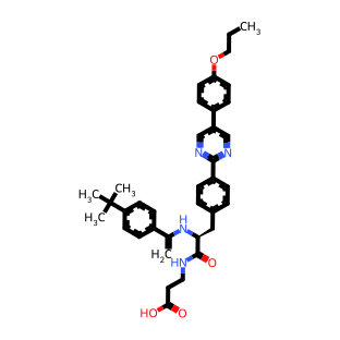 C=C(N[C@@H](Cc1ccc(-c2ncc(-c3ccc(OCCC)cc3)cn2)cc1)C(=O)NCCC(=O)O)c1ccc(C(C)(C)C)cc1